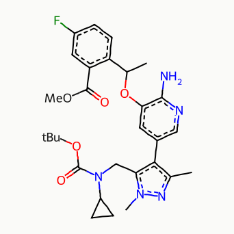 COC(=O)c1cc(F)ccc1C(C)Oc1cc(-c2c(C)nn(C)c2CN(C(=O)OC(C)(C)C)C2CC2)cnc1N